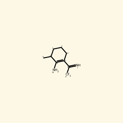 CC1CCCC(C(=N)C(F)(F)F)=C1N